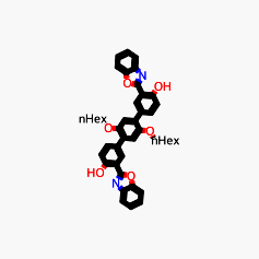 CCCCCCOc1cc(-c2ccc(O)c(-c3nc4ccccc4o3)c2)c(OCCCCCC)cc1-c1ccc(O)c(-c2nc3ccccc3o2)c1